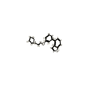 [c]1csc2cccc(-c3cccc(OCCN4CCCC4)c3)c12